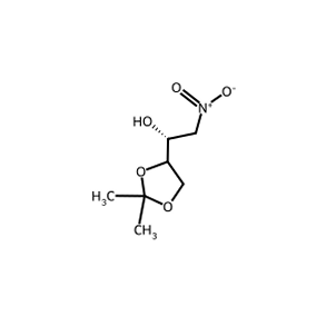 CC1(C)OCC([C@H](O)C[N+](=O)[O-])O1